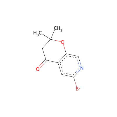 CC1(C)CC(=O)c2cc(Br)ncc2O1